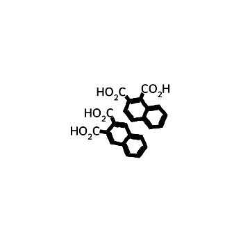 O=C(O)c1cc2ccccc2cc1C(=O)O.O=C(O)c1ccc2ccccc2c1C(=O)O